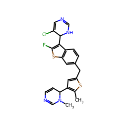 Cc1sc(Cc2ccc3c(C4NC=NC=C4Cl)c(F)sc3c2)cc1C1C=CN=CN1C